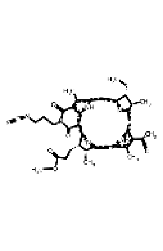 CC[C@H]1c2cc3[nH]c4c(c5nc(cc6[nH]c(cc(n2)[C@@H]1C)c(C(C)=O)c6C)[C@@H](C)[C@@H]5CCC(=O)OC)C(=O)N(CCCN=C=S)C(=O)c4c3C